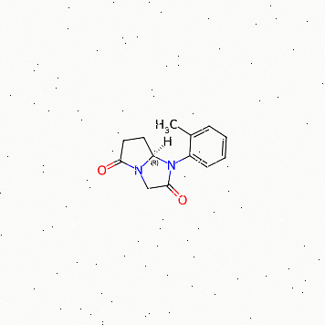 Cc1ccccc1N1C(=O)CN2C(=O)CC[C@H]21